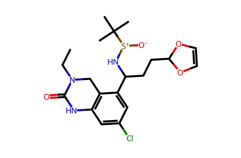 CCN1Cc2c(cc(Cl)cc2C(CCC2OC=CO2)N[S+]([O-])C(C)(C)C)NC1=O